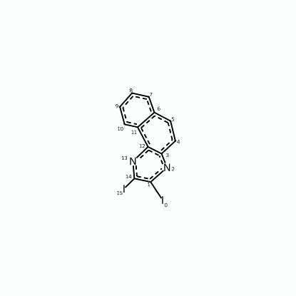 Ic1nc2ccc3ccccc3c2nc1I